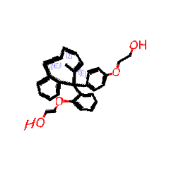 C\C1=C/C=C\C=C\c2ccccc2C1(c1ccc(OCCO)cc1)c1ccccc1OCCO